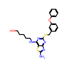 Nc1nc2nc(SCc3cccc(Oc4ccccc4)c3)nc(NCCCCCO)c2s1